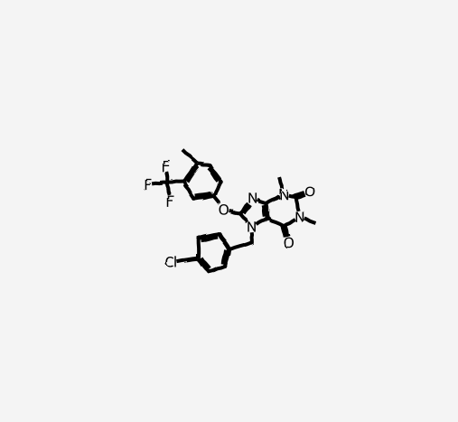 Cc1ccc(Oc2nc3c(c(=O)n(C)c(=O)n3C)n2Cc2ccc(Cl)cc2)cc1C(F)(F)F